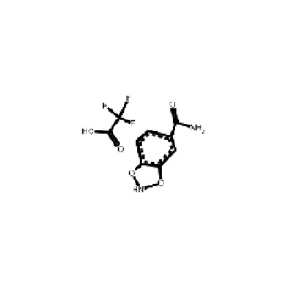 NC(=O)c1ccc2c(c1)ONO2.O=C(O)C(F)(F)F